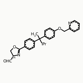 CC(C)C(C)(c1ccc(OCc2ccccn2)cc1)c1ccc(C2=N[C@@H](C=O)CO2)cc1